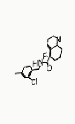 Cc1ccc(CNC(=O)[C@]2(F)CCCC3=NCCC=C32)c(Cl)c1